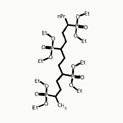 CCCC(CCC(CCC(CCC(C)P(=O)(OCC)OCC)P(=O)(OCC)OCC)P(=O)(OCC)OCC)P(=O)(OCC)OCC